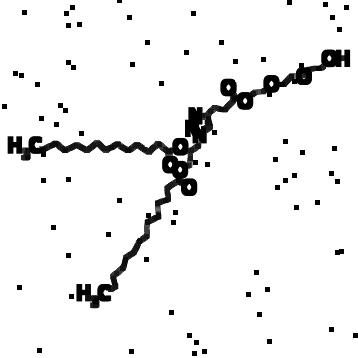 CCCCCCCCCCCCCC(=O)OCC(Cn1cc(CCC(=O)OCCOCCOCCO)nn1)OC(=O)CCCCCCCCCCCCC